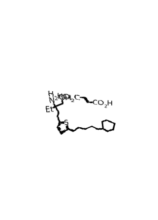 CCC(N)(CO)CCc1ccc(CCCCCC2CCCCC2)s1.O=C(O)C=CC(=O)O